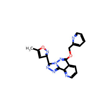 Cc1cc(-c2nnc3c4ncccc4c(OCc4ccccn4)nn23)no1